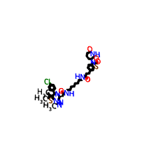 Cc1sc2c(c1C)C(c1ccc(Cl)cc1)=N[C@@H](CC(=O)NCCCCCCCCNC(=O)CCc1ccc3c(c1)sc(=O)n3C1CCCC(=O)NC1=O)c1nnc(C)n1-2